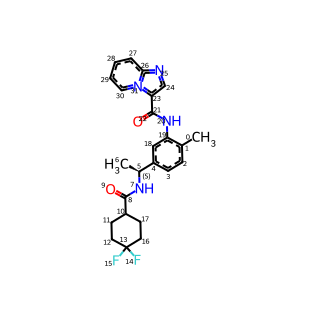 Cc1ccc([C@H](C)NC(=O)C2CCC(F)(F)CC2)cc1NC(=O)c1cnc2ccccn12